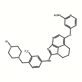 CCN1CCN(Cc2ccc(Nc3nc4ncc(Oc5ccnc(NC(C)=O)c5)c5c4n3CCC5)cc2C(F)(F)F)CC1